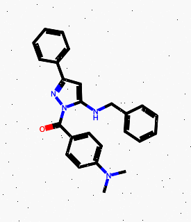 CN(C)c1ccc(C(=O)n2nc(-c3ccccc3)cc2NCc2ccccc2)cc1